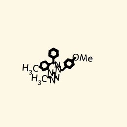 COc1ccc(CN2N=C(c3ccccc3)c3ccc(C)cc3-n3c(C)nnc32)cc1